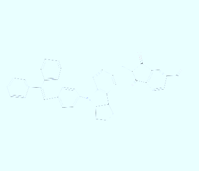 O=C(O)c1ccc2c(c1)C(=O)C(Cc1ccc3c(c1)C1CCCC1N3c1ccc(C=C(c3ccccc3)c3ccccc3)cc1)C2=O